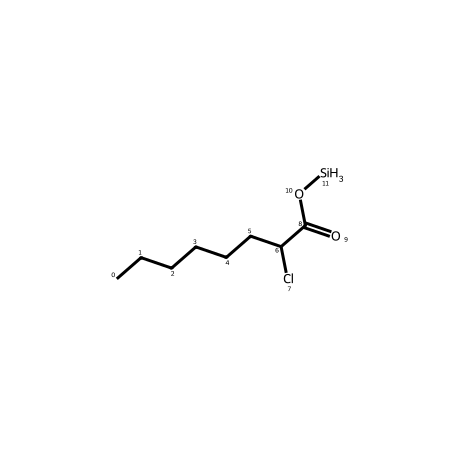 CCCCCCC(Cl)C(=O)O[SiH3]